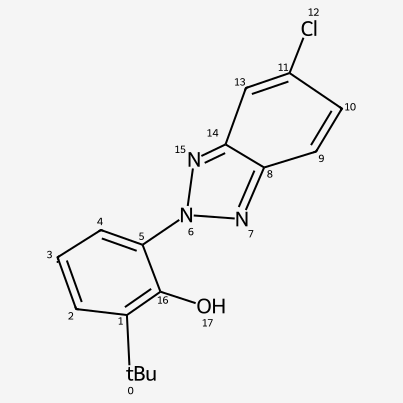 CC(C)(C)c1c[c]cc(-n2nc3ccc(Cl)cc3n2)c1O